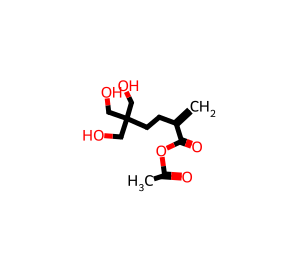 C=C(CCC(CO)(CO)CO)C(=O)OC(C)=O